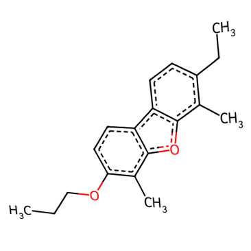 CCCOc1ccc2c(oc3c(C)c(CC)ccc32)c1C